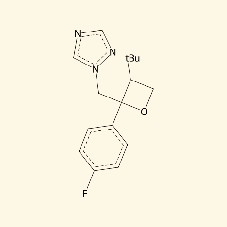 CC(C)(C)C1COC1(Cn1cncn1)c1ccc(F)cc1